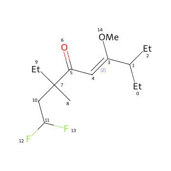 CCC(CC)/C(=C/C(=O)C(C)(CC)CC(F)F)OC